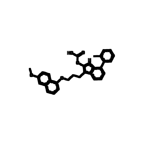 COc1ccc2c(OCCCc3c(OC(=O)O)[nH]c4c(-c5ccccc5C)cccc34)cccc2c1